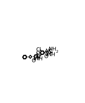 C=C1NC(=O)N(c2cc(Cl)c(Oc3cc([C@H]4C[C@H](c5ccccc5)C4)c(=O)[nH]n3)c(Cl)c2)N=C1N